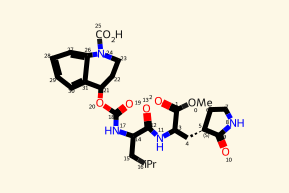 COC(=O)C(C[C@@H]1CCNC1=O)NC(=O)C(CC(C)C)NC(=O)OC1CCN(C(=O)O)c2ccccc21